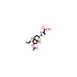 CC(=O)O[C@@H]1C[C@@H]2O[C@@H](c3nc(C(=O)O)cs3)CC[C@@H]2[C@H]1/C=C/I